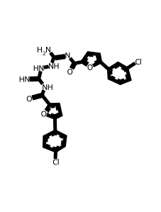 N=C(NNC(N)=NC(=O)c1ccc(-c2cccc(Cl)c2)o1)NC(=O)c1ccc(-c2ccc(Cl)cc2)o1